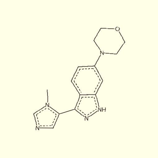 Cn1cncc1-c1n[nH]c2cc(N3CCOCC3)ccc12